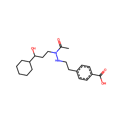 CC(=O)N(CCC(O)C1CCCCC1)NCCc1ccc(C(=O)O)cc1